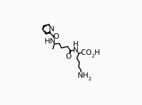 CC(CCCC(=O)NC(CCCCN)C(=O)O)NC(=O)c1ccccn1